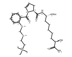 CCCCCC[C@H](CCCCC[C@@H](O)C(N)=O)NC(=O)[C@@H]1CC=CN1C(=O)c1ccccc1OCOCC[Si](C)(C)C